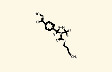 [2H]C([2H])([2H])N(C(=O)OCCCC)C([2H])([2H])c1ccc(C(Cl)=NO)cc1